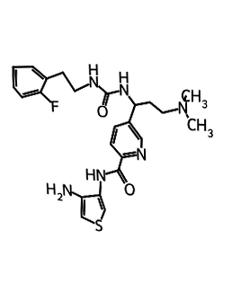 CN(C)CCC(NC(=O)NCCc1ccccc1F)c1ccc(C(=O)Nc2cscc2N)nc1